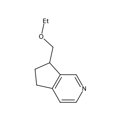 CCOCC1CCc2ccncc21